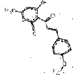 Cc1cc(O)c(C(=O)/C=C/c2ccc(OC(F)(F)F)cc2)c(=O)o1